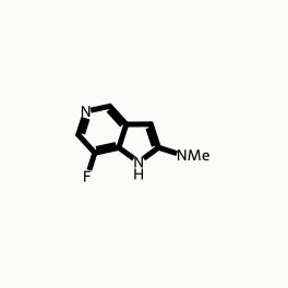 CNc1cc2cncc(F)c2[nH]1